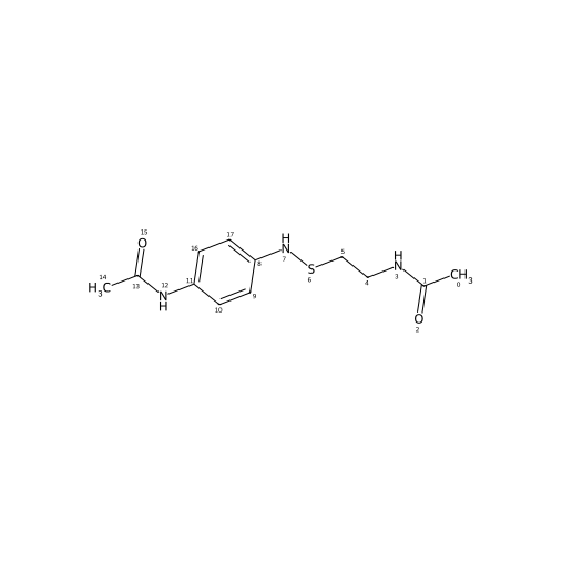 CC(=O)NCCSNc1ccc(NC(C)=O)cc1